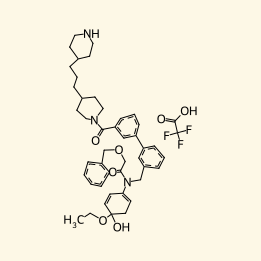 CCOC1(O)C=CC(N(Cc2cccc(-c3cccc(C(=O)N4CCC(CCCC5CCNCC5)CC4)c3)c2)C(=O)COCc2ccccc2)=CC1.O=C(O)C(F)(F)F